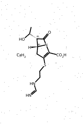 CC(O)[C@@H]1C(=O)N2C(C(=O)O)=C(SCCNC=N)C[C@H]12.[CaH2]